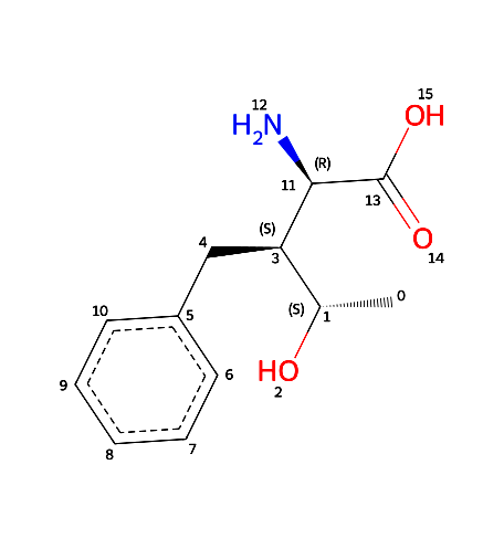 C[C@H](O)[C@@H](Cc1ccccc1)[C@@H](N)C(=O)O